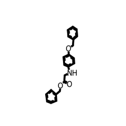 O=C(CNc1ccc(OCc2ccccc2)cc1)OCc1ccccc1